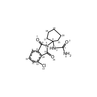 NC(=O)NC1(N2C(=O)c3cccc(Cl)c3C2=O)CCCCC1